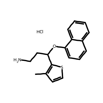 Cc1ccsc1C(CCN)Oc1cccc2ccccc12.Cl